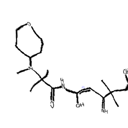 CN(C1CCOCC1)C(C)(C)C(=O)N/C(O)=C/C(=N)C(C)(C)CO